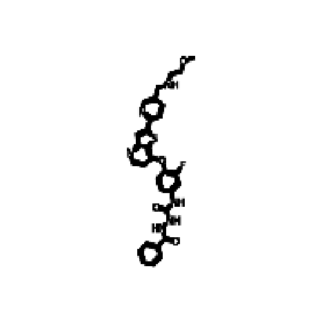 COCCNCc1ccc(-c2cc3nccc(Oc4ccc(NC(=O)NNC(=O)c5ccccc5)cc4F)c3s2)nc1